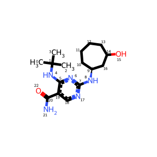 CC(C)(C)Nc1nc(N[C@H]2CCCCC(O)C2)ncc1C(N)=O